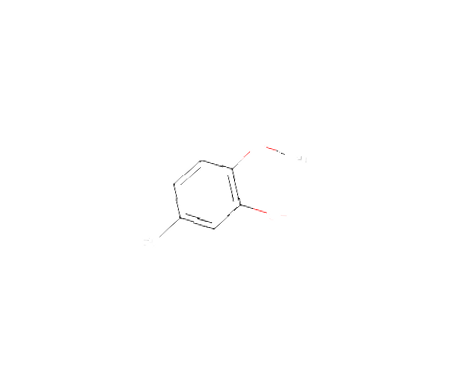 CCC(C)c1ccc(OC(C)(C)C)c(O)c1